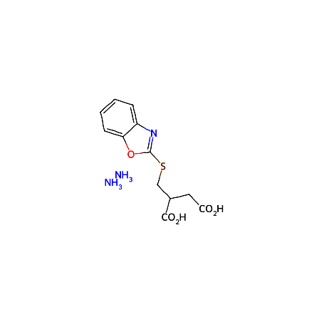 N.N.O=C(O)CC(CSc1nc2ccccc2o1)C(=O)O